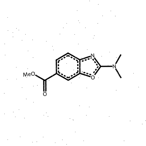 COC(=O)c1ccc2nc(N(C)C)oc2c1